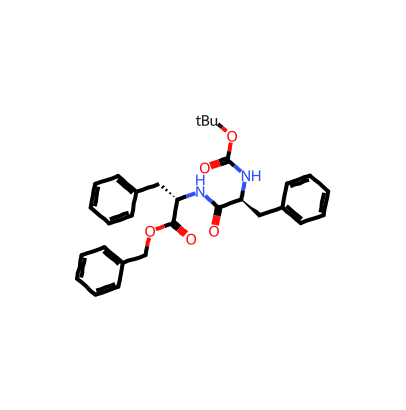 CC(C)(C)OC(=O)N[C@@H](Cc1ccccc1)C(=O)N[C@@H](Cc1ccccc1)C(=O)OCc1ccccc1